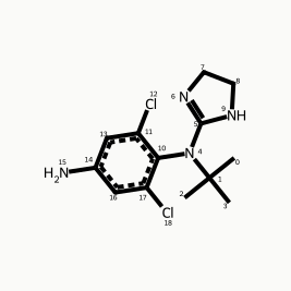 CC(C)(C)N(C1=NCCN1)c1c(Cl)cc(N)cc1Cl